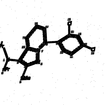 CCCN(CCC)c1c(SC)nn2c(-c3ccc(Cl)cc3Cl)cccc12